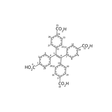 O=C(O)c1ccc(C(=C(c2ccc(C(=O)O)cc2)c2ccc(C(=O)O)cc2)c2ccc(C(=O)O)cc2)cc1